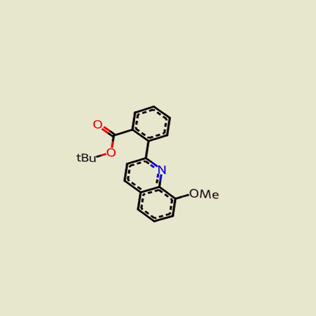 COc1cccc2ccc(-c3ccccc3C(=O)OC(C)(C)C)nc12